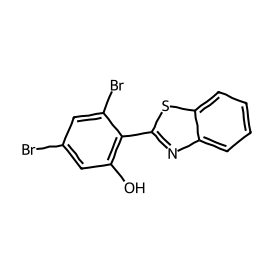 Oc1cc(Br)cc(Br)c1-c1nc2ccccc2s1